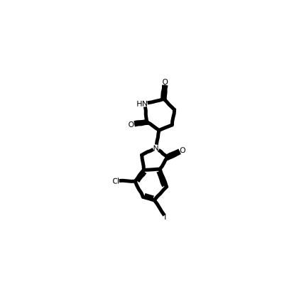 O=C1CCC(N2Cc3c(Cl)cc(I)cc3C2=O)C(=O)N1